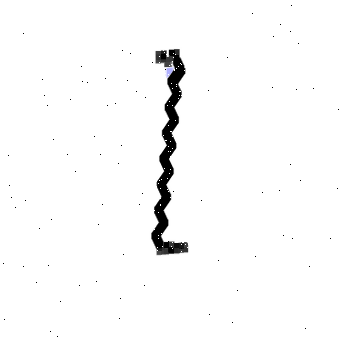 CCCCCCCCCCCCCCCCCCCCC/C=C/N